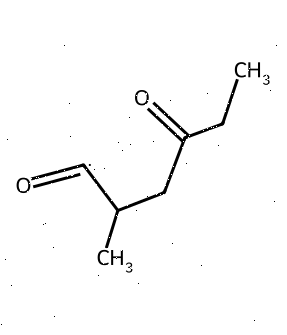 CCC(=O)CC(C)[C]=O